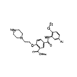 CCOc1ccc(C(C)=O)cc1NC(=O)c1ccc(OCCN2CCNCC2)c(C(=O)OC)c1